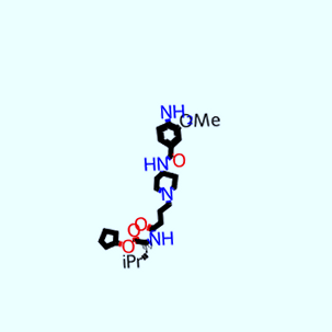 COc1cc(C(=O)NC2CCN(CCCC(=O)N[C@H](CC(C)C)C(=O)OC3CCCC3)CC2)ccc1N